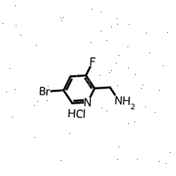 Cl.NCc1ncc(Br)cc1F